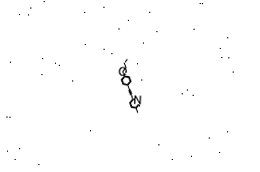 CCCOc1ccc(C#Cc2ccc(C)cn2)cc1